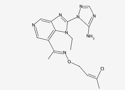 CCn1c(-n2ncnc2N)nc2cncc(C(C)=NOCC=C(C)Cl)c21